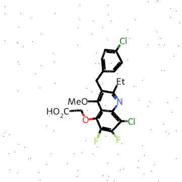 CCc1nc2c(Cl)c(F)c(F)c(OCC(=O)O)c2c(OC)c1Cc1ccc(Cl)cc1